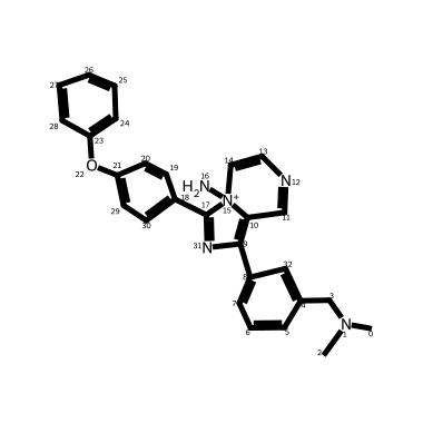 CN(C)Cc1cccc(C2=C3C=NC=C[N+]3(N)C(c3ccc(Oc4ccccc4)cc3)=N2)c1